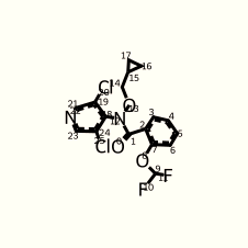 O=C(c1ccccc1OC(F)F)N(OCC1CC1)c1c(Cl)cncc1Cl